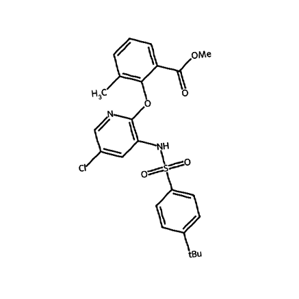 COC(=O)c1cccc(C)c1Oc1ncc(Cl)cc1NS(=O)(=O)c1ccc(C(C)(C)C)cc1